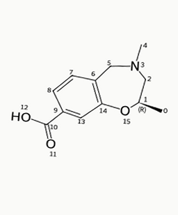 C[C@@H]1CN(C)Cc2ccc(C(=O)O)cc2O1